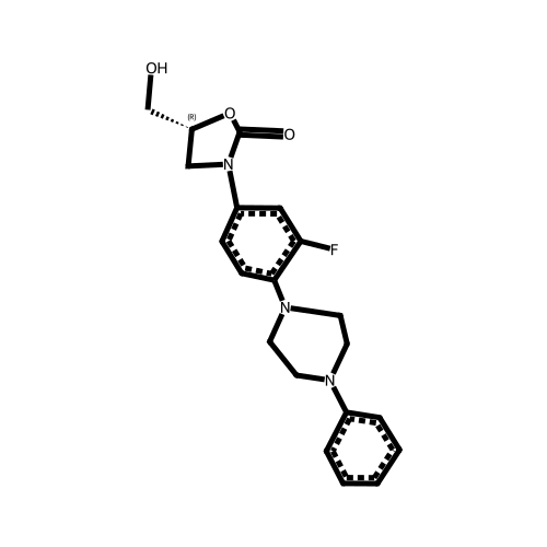 O=C1O[C@@H](CO)CN1c1ccc(N2CCN(c3ccccc3)CC2)c(F)c1